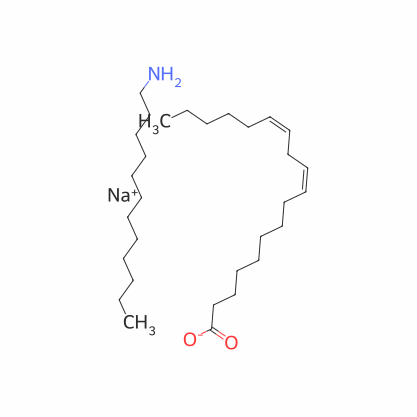 CCCCC/C=C\C/C=C\CCCCCCCC(=O)[O-].CCCCCCCCCCCCN.[Na+]